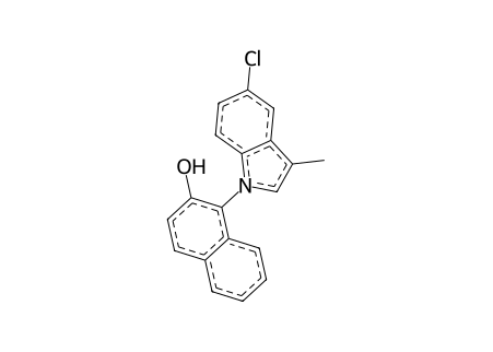 Cc1cn(-c2c(O)ccc3ccccc23)c2ccc(Cl)cc12